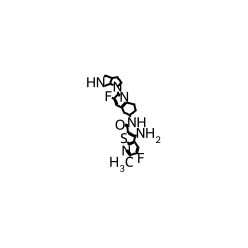 Cc1nc2sc(C(=O)NC3CCc4nc(N5CCC6CNCC65)c(F)cc4C3)c(N)c2cc1F